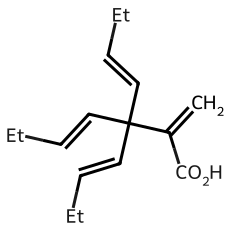 C=C(C(=O)O)C(C=CCC)(C=CCC)C=CCC